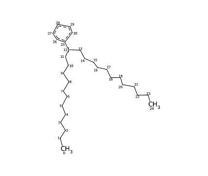 CCCCCCCCCCCCI(CCCCCCCCCCCC)c1ccccc1